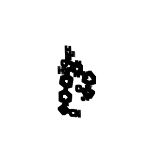 CN1CCN([C@@H]2CCCN(c3cnc(C(N)=O)c(Nc4ccc(C5CCN(C6CCC6C#N)CC5)cc4)n3)C2)C1=O